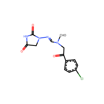 O=CN(C=NN1CC(=O)NC1=O)CC(=O)c1ccc(Cl)cc1